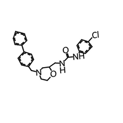 O=C(NCC1CN(Cc2ccc(-c3ccccc3)cc2)CCO1)Nc1ccc(Cl)cc1